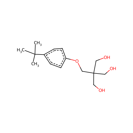 CC(C)(C)c1ccc(OCC(CO)(CO)CO)cc1